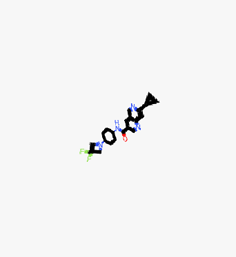 O=C(N[C@H]1CC[C@H](N2CC(F)(F)C2)CC1)c1cnc2cc(C3CC3)ncc2c1